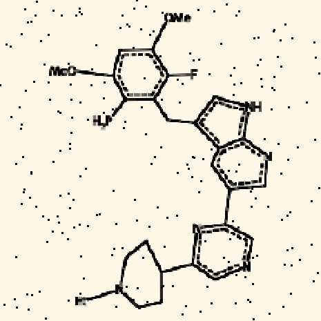 CCN1CCC(c2cncc(-c3cnc4[nH]cc(Cc5c(F)c(OC)cc(OC)c5P)c4c3)n2)CC1